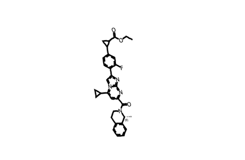 CCOC(=O)C1CC1c1ccc(-c2cn3c(C4CC4)cc(C(=O)N4CCc5ccccc5[C@H]4C)nc3n2)c(F)c1